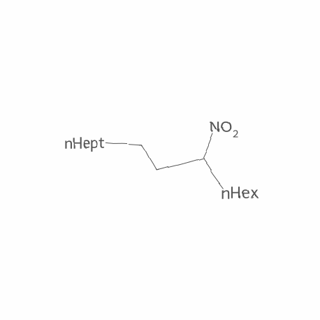 CCCCCCCCCC(CCCCCC)[N+](=O)[O-]